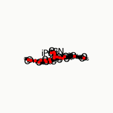 C=CC(=O)OCCCCCCOC1CCC(C(=O)OC2CCC(C(=O)Oc3ccc(OC(=O)C4CCC(OC(=O)C5CCC(OCCCCCCOC(=O)C=C)CC5)CC4)c4c3SC(=C(C#N)C(=O)OC(C)C)S4)CC2)CC1